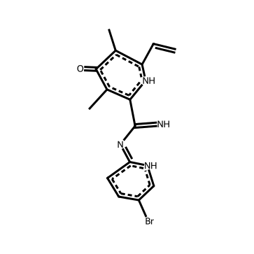 C=Cc1[nH]c(C(=N)/N=c2/ccc(Br)c[nH]2)c(C)c(=O)c1C